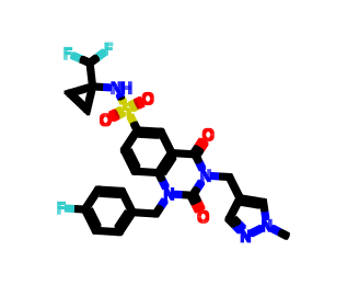 Cn1cc(Cn2c(=O)c3cc(S(=O)(=O)NC4(C(F)F)CC4)ccc3n(Cc3ccc(F)cc3)c2=O)cn1